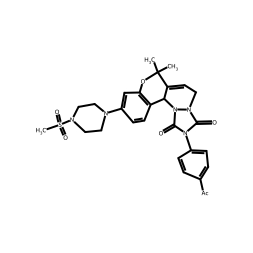 CC(=O)c1ccc(-n2c(=O)n3n(c2=O)C2C(=CC3)C(C)(C)Oc3cc(N4CCN(S(C)(=O)=O)CC4)ccc32)cc1